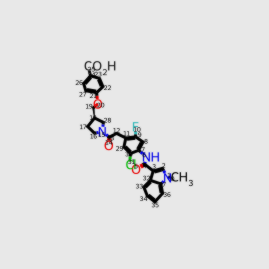 Cn1cc(C(=O)Nc2cc(F)c(CC(=O)N3CC[C@@H](COc4ccc(C(=O)O)cc4)C3)cc2Cl)c2ccccc21